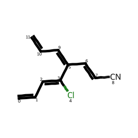 C=CC=C(Cl)C(C=CC#N)=CC=C